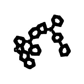 c1ccc(-c2ccc(N(c3ccccc3)c3ccc4ccc(N(c5ccccc5)c5cccc6oc7cc8ccccc8cc7c56)cc4c3)cc2)cc1